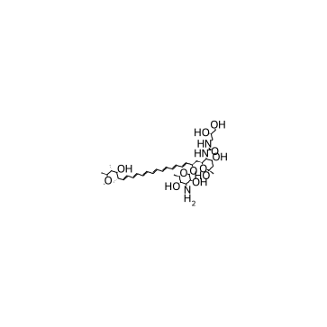 CO[C@@H](C)[C@H](C)[C@H](O)[C@@H](C)/C=C/C=C/C=C/C=C/C=C/C=C/C=C/[C@@H](C[C@@H]1O[C@@](C)(O)C[C@H](O)[C@H]1NC(=O)NC[C@H](O)CO)O[C@@H]1O[C@H](C)[C@@H](O)[C@H](N)[C@@H]1O